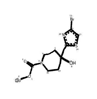 CC(C)(C)OC(=O)N1CCC(O)(c2nc(Br)cs2)CC1